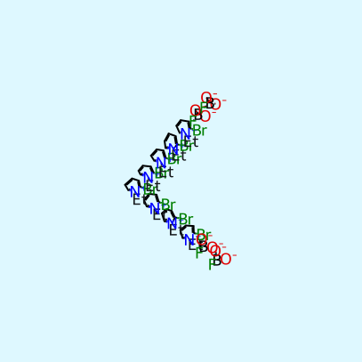 CC[n+]1ccccc1Br.CC[n+]1ccccc1Br.CC[n+]1ccccc1Br.CC[n+]1ccccc1Br.CC[n+]1ccccc1Br.CC[n+]1ccccc1Br.CC[n+]1ccccc1Br.CC[n+]1ccccc1Br.[O-]B([O-])F.[O-]B([O-])F.[O-]B([O-])F.[O-]B([O-])F